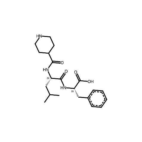 CC(C)C[C@H](NC(=O)C1CCNCC1)C(=O)N[C@@H](Cc1ccccc1)C(=O)O